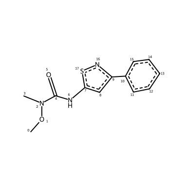 CON(C)C(=O)Nc1cc(-c2ccccc2)ns1